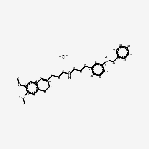 COc1cc2c(cc1OC)CCC(CCCNCCCc1cccc(OCc3ccccc3)c1)=C2.Cl